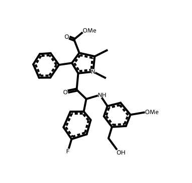 COC(=O)c1c(-c2ccccc2)c(C(=O)C(Nc2cc(CO)cc(OC)c2)c2ccc(F)cc2)n(C)c1C